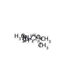 CCCC(C)Oc1ccc(/C=N/N(C)S)cc1